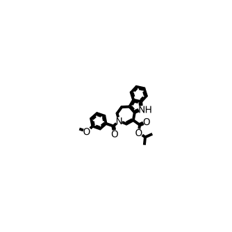 COc1cccc(C(=O)N2C=C(C(=O)OC(C)C)c3[nH]c4ccccc4c3CC2)c1